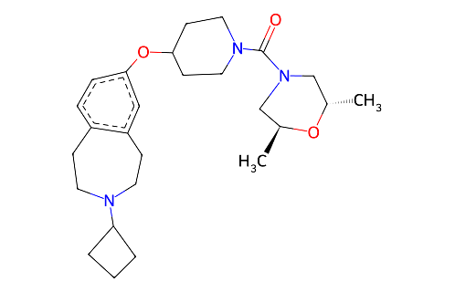 C[C@H]1CN(C(=O)N2CCC(Oc3ccc4c(c3)CCN(C3CCC3)CC4)CC2)C[C@H](C)O1